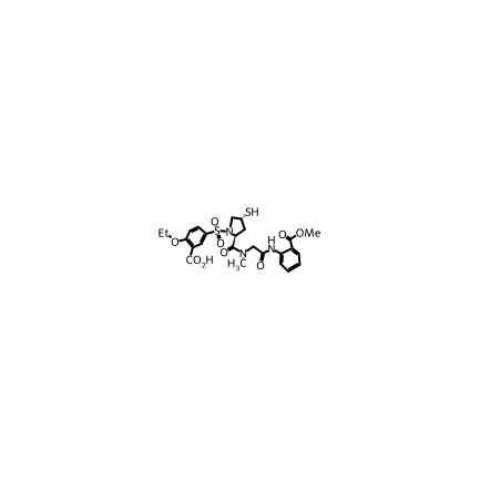 CCOc1ccc(S(=O)(=O)N2C[C@H](S)C[C@H]2C(=O)N(C)CC(=O)Nc2ccccc2C(=O)OC)cc1C(=O)O